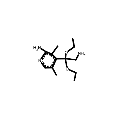 CCOC(CN)(OCC)c1c(C)cnc(N)c1C